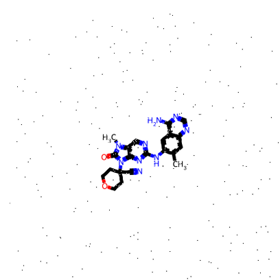 Cc1cc2ncnc(N)c2cc1Nc1ncc2c(n1)n(C1(C#N)CCOCC1)c(=O)n2C